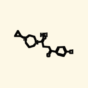 Cl.O=C(CCC(=O)N1CCCN(C2CC2)CC1)c1ccc(Cl)cc1